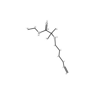 C=CCCCCOC(C)(C)C(=O)OCC